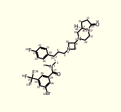 CN(C[C@@H](CCN1CC(N2CCN3C(=O)CC[C@@H]3C2)C1)c1ccc(F)cc1)C(=O)c1cc(Br)cc(C(F)(F)F)c1